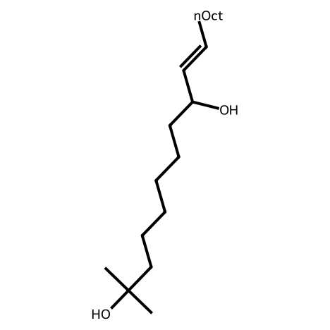 CCCCCCCCC=CC(O)CCCCCCC(C)(C)O